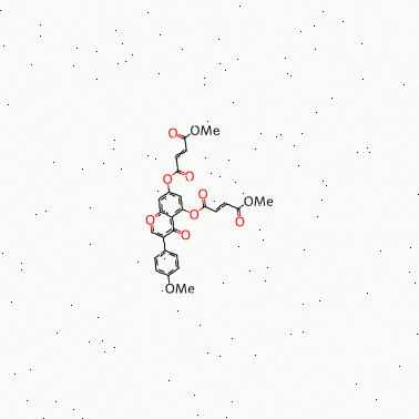 COC(=O)/C=C/C(=O)Oc1cc(OC(=O)/C=C/C(=O)OC)c2c(=O)c(-c3ccc(OC)cc3)coc2c1